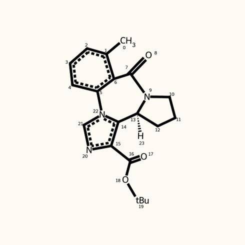 Cc1cccc2c1C(=O)N1CCC[C@H]1c1c(C(=O)OC(C)(C)C)ncn1-2